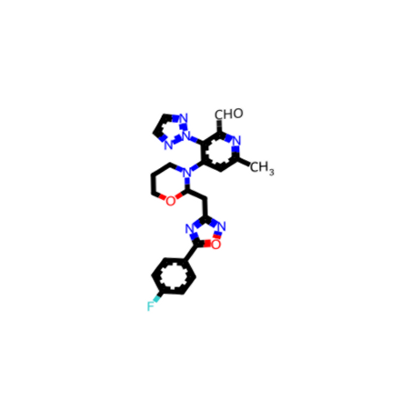 Cc1cc(N2CCCOC2Cc2noc(-c3ccc(F)cc3)n2)c(-n2nccn2)c(C=O)n1